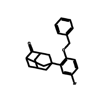 O=C1C2CC3CC1CC(c1cc(Br)ccc1OCc1ccccc1)(C3)C2